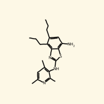 CCCc1cc(N)c2sc(Nc3c(C)cc(C)nc3C)nc2c1CCC